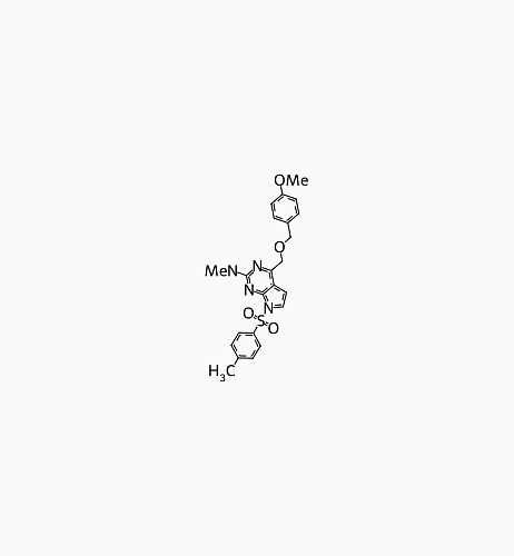 CNc1nc(COCc2ccc(OC)cc2)c2ccn(S(=O)(=O)c3ccc(C)cc3)c2n1